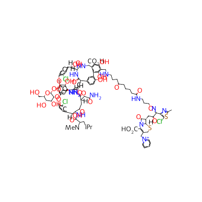 CN[C@H](CC(C)C)C(=O)NC1C(=O)C[C@@H](CC(N)=O)C(=O)N[C@H]2C(=O)C[C@H]3C(=O)N[C@H](C(=O)N[C@H](C(=O)O)c4cc(O)c(CNCCCC(=O)CCCCC(=O)NCCCO/N=C(\C(=O)C[C@@H]5C(=O)N6C(C(=O)O)=C(C[n+]7ccccc7)CS[C@H]56)c5nc(C)sc5Cl)c(O)c4-c4cc3ccc4O)[C@H](O)c3ccc(c(Cl)c3)Oc3cc2cc(c3O[C@@H]2O[C@H](CO)[C@@H](O)[C@H](O)[C@H]2O[C@H]2C[C@](C)(N)[C@H](O)[C@H](C)O2)Oc2ccc(cc2Cl)[C@H]1O